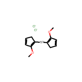 COC1=[C]([Ti+2][C]2=C(OC)C=CC2)CC=C1.[Cl-].[Cl-]